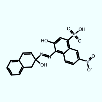 O=[N+]([O-])c1ccc2c(N=NC3(O)C=Cc4ccccc4C3)c(O)cc(S(=O)(=O)O)c2c1